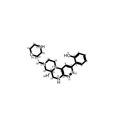 Oc1ccccc1-c1cc2c(nn1)NC[C@H]1CN(C[C@H]3CNCCO3)CCN21